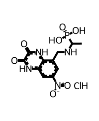 CC(NCc1cc([N+](=O)[O-])cc2[nH]c(=O)c(=O)[nH]c12)P(=O)(O)O.Cl